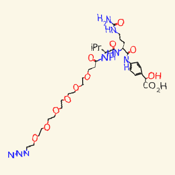 CC(C)[C@H](NC(=O)CCOCCOCCOCCOCCOCCOCCN=[N+]=[N-])C(=O)N[C@@H](CCCNC(N)=O)C(=O)Nc1ccc(C(O)C(=O)O)cc1